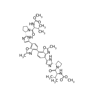 COC(=O)N[C@H](C(=O)N1CCC[C@H]1c1ncc(-c2ccc(-c3ccc(-c4cnc([C@@H]5CCCN5C(=O)[C@@H](NC(=O)OC)C(C)C)[nH]4)c4oc(C)nc34)c3oc(C)nc23)[nH]1)C(C)C